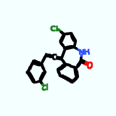 O=C1Nc2ccc(Cl)cc2C(=C=Cc2cccc(Cl)c2)c2ccccc21